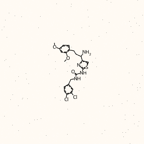 COc1ccc(CCC(N)c2csc(NC(=O)NCc3ccc(Cl)c(Cl)c3)n2)c(OC)c1